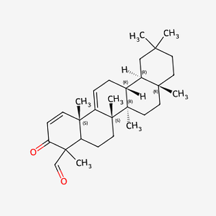 CC1(C)CC[C@]2(C)CC[C@]3(C)[C@H](CC=C4[C@@]5(C)C=CC(=O)C(C)(C=O)C5CC[C@]43C)[C@H]2C1